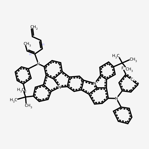 C=C/C=C\C(=C/C)N(c1cccc(F)c1)c1ccc2c3cc4c(cc3n3c5ccc(C(C)(C)C)cc5c1c23)c1ccc(N(c2ccccc2)c2cccc(F)c2)c2c3cc(C(C)(C)C)ccc3n4c12